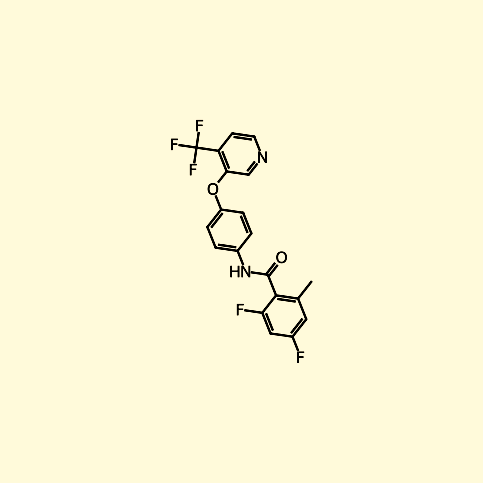 Cc1cc(F)cc(F)c1C(=O)Nc1ccc(Oc2cnccc2C(F)(F)F)cc1